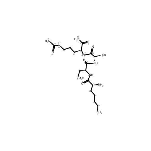 CC[C@H](C)[C@H](NC(=O)[C@H](CC(=O)O)NC(=O)[C@@H](N)CCCCN)C(=O)N[C@@H](CCCNC(N)=O)C(N)=O